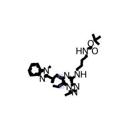 C=C(/C=c1/nc(NCCCCNC(=O)OC(C)(C)C)c2nnc(C)n2/c1=C/C)c1nc2ccccc2n1C